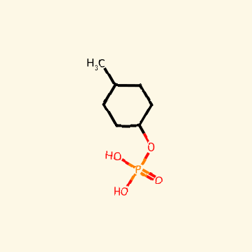 CC1CCC(OP(=O)(O)O)CC1